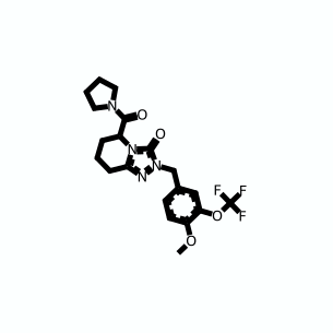 COc1ccc(Cn2nc3n(c2=O)C(C(=O)N2CCCC2)CCC3)cc1OC(F)(F)F